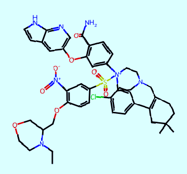 CCN1CCOCC1COc1ccc(S(=O)(=O)[N+]2(c3ccc(C(N)=O)c(Oc4cnc5[nH]ccc5c4)c3)CCN(CC3=C(c4ccc(Cl)cc4)CC(C)(C)CC3)CC2)cc1[N+](=O)[O-]